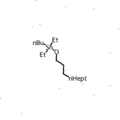 CCCCCCCCCC[O][Sn]([CH2]C)([CH2]C)[CH2]CCC